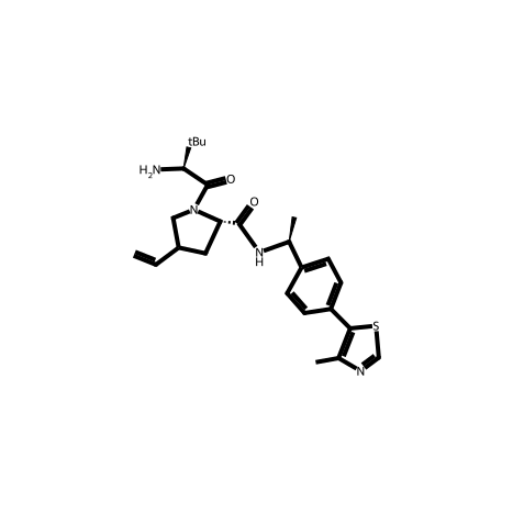 C=CC1C[C@@H](C(=O)N[C@@H](C)c2ccc(-c3scnc3C)cc2)N(C(=O)[C@@H](N)C(C)(C)C)C1